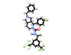 CC(c1cc(C(F)(F)F)cc(C(F)(F)F)c1)N(C)C(=O)N1CCC2CN(Cc3ccccc3)CC2C1c1ccc(F)cc1